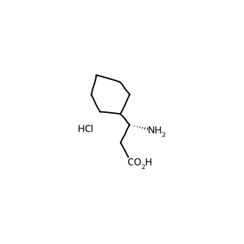 Cl.N[C@H](CC(=O)O)C1CCCCC1